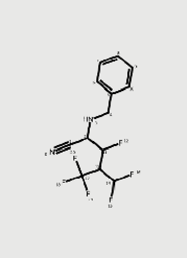 N#CC(NCc1ccccc1)C(F)C(C(F)F)C(F)(F)F